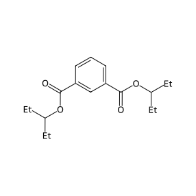 CCC(CC)OC(=O)c1cccc(C(=O)OC(CC)CC)c1